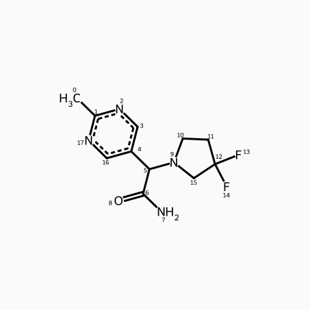 Cc1ncc(C(C(N)=O)N2CCC(F)(F)C2)cn1